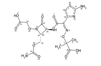 CC(C)(ON=C(C(=O)N[C@@H]1C(=O)N(OCC(=O)O)[C@H]1COC(N)=O)c1csc(N)n1)C(=O)O